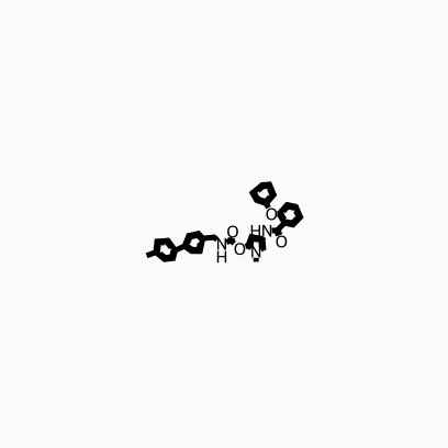 Cc1ccc(-c2ccc(CNC(=O)Oc3cc(NC(=O)c4ccccc4Oc4ccccc4)cn3C)cc2)cc1